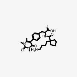 Cc1c(-c2ccc(CC(NC(=O)C3(CCCCN)CCCC3)C(=O)O)cc2)c(=O)n(C)c(=O)n1C